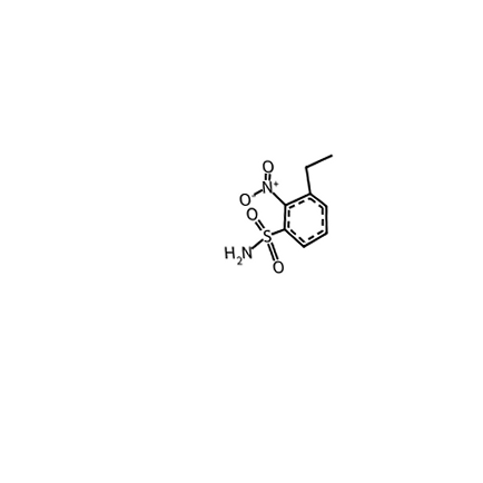 CCc1cccc(S(N)(=O)=O)c1[N+](=O)[O-]